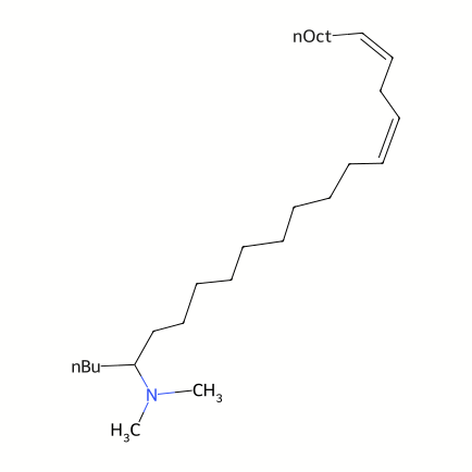 CCCCCCCC/C=C\C/C=C\CCCCCCCCCC(CCCC)N(C)C